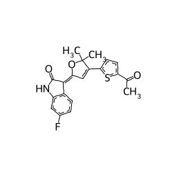 CC(=O)c1ccc(C2=CC(=C3C(=O)Nc4cc(F)ccc43)OC2(C)C)s1